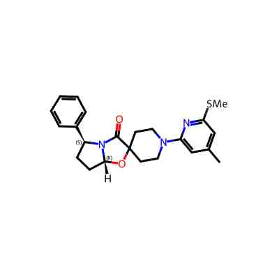 CSc1cc(C)cc(N2CCC3(CC2)O[C@@H]2CC[C@@H](c4ccccc4)N2C3=O)n1